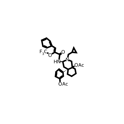 CC(=O)Oc1cccc([C@@]23CCCCC2(OC(C)=O)CN(CC2CC2)[C@H](NC(=O)C(=Cc2ccccc2)OC(F)(F)F)C3)c1